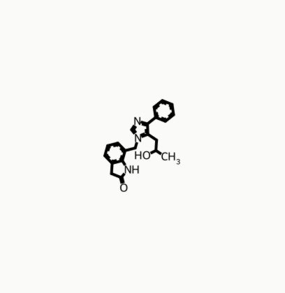 CC(O)Cc1c(-c2ccccc2)ncn1Cc1cccc2c1NC(=O)C2